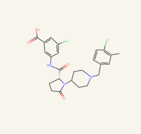 Cc1cc(CN2CCC(N3C(=O)CC[C@@H]3C(=O)Nc3cc(Cl)cc(C(=O)O)c3)CC2)ccc1Cl